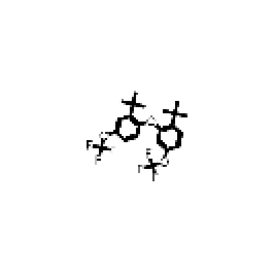 CC(C)(C)c1ccc(OC(F)(F)F)cc1Oc1ccc(OC(F)(F)F)cc1C(C)(C)C